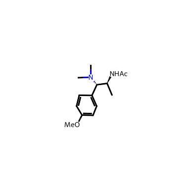 COc1ccc([C@@H]([C@H](C)NC(C)=O)N(C)C)cc1